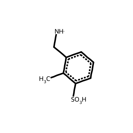 Cc1c(C[NH])cccc1S(=O)(=O)O